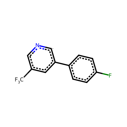 Fc1ccc(-c2[c]ncc(C(F)(F)F)c2)cc1